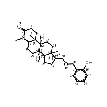 CN1C(=O)CC[C@@]2(C)C1CC[C@@H]1[C@H]2CC[C@]2(C)C(COCc3ccccc3F)CC[C@@H]12